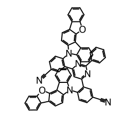 N#Cc1ccc(-n2c3ccccc3c3c4oc5ccccc5c4ccc32)c(-c2cc(-c3cc(C#N)ccc3-n3c4ccccc4c4c5oc6ccccc6c5ccc43)nc(-c3ccccc3)n2)c1